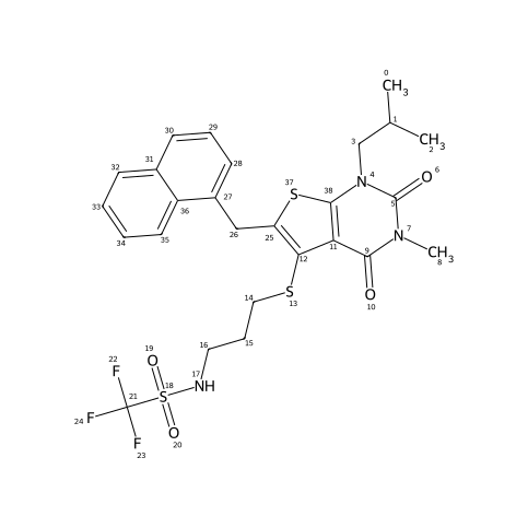 CC(C)Cn1c(=O)n(C)c(=O)c2c(SCCCNS(=O)(=O)C(F)(F)F)c(Cc3cccc4ccccc34)sc21